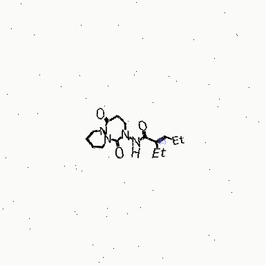 CC/C=C(\CC)C(=O)NN1CCC(=O)N2CCCCN2C1=O